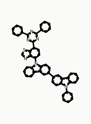 c1ccc(-c2nc(-c3ccccc3)nc(-c3ccc(-n4c5ccccc5c5cc(-c6ccc7c(c6)c6ccccc6n7-c6ccccc6)ccc54)c4ncsc34)n2)cc1